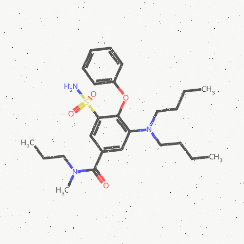 CCCCN(CCCC)c1cc(C(=O)N(C)CCC)cc(S(N)(=O)=O)c1Oc1ccccc1